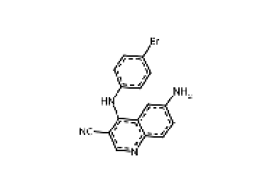 N#Cc1cnc2ccc(N)cc2c1Nc1ccc(Br)cc1